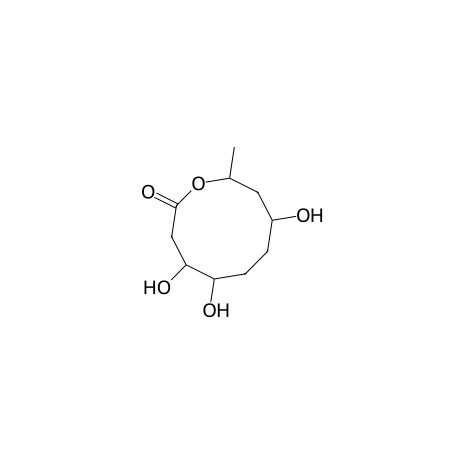 CC1CC(O)CCC(O)C(O)CC(=O)O1